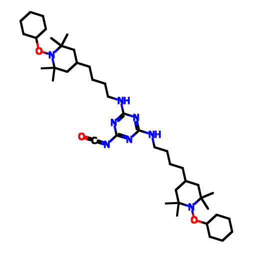 CC1(C)CC(CCCCNc2nc(N=C=O)nc(NCCCCC3CC(C)(C)N(OC4CCCCC4)C(C)(C)C3)n2)CC(C)(C)N1OC1CCCCC1